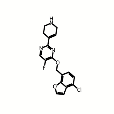 Fc1cnc(C2=CCNCC2)nc1OCc1ccc(Cl)c2ccoc12